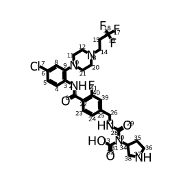 O=C(Nc1ccc(Cl)cc1N1CCN(CCC(F)(F)F)CC1)c1ccc(CNC(=O)N(C(=O)O)C2CCNC2)cc1F